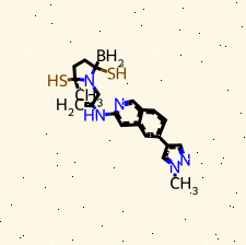 BC1(S)CCC(C)(S)N1CC(=C)Nc1cc2cc(-c3cnn(C)c3)ccc2cn1